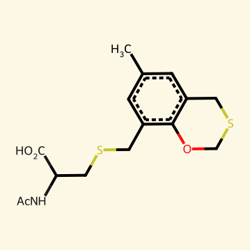 CC(=O)NC(CSCc1cc(C)cc2c1OCSC2)C(=O)O